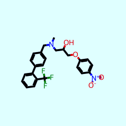 CN(Cc1ccc(-c2ccccc2C(F)(F)F)cc1)CC(O)COc1ccc([N+](=O)[O-])cc1